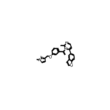 CC1N=CC=C(c2ccc3occc3c2)N1C(C)c1cccc(OCc2ccn(C)n2)c1